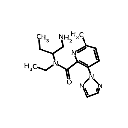 CCC(CN)N(CC)C(=O)c1nc(C)ccc1-n1nccn1